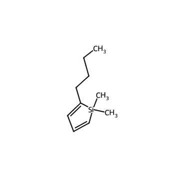 CCCCC1=CC=C[Si]1(C)C